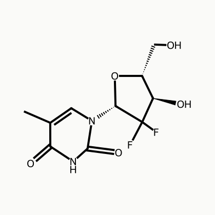 Cc1cn([C@@H]2O[C@H](CO)[C@@H](O)C2(F)F)c(=O)[nH]c1=O